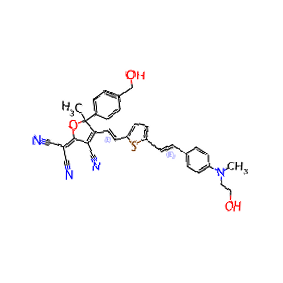 CN(CCO)c1ccc(/C=C/c2ccc(/C=C/C3=C(C#N)C(=C(C#N)C#N)OC3(C)c3ccc(CO)cc3)s2)cc1